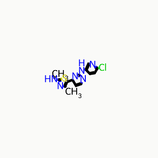 CNc1nc(C)c(-c2ccnc(Nc3ccc(Cl)nc3)n2)s1